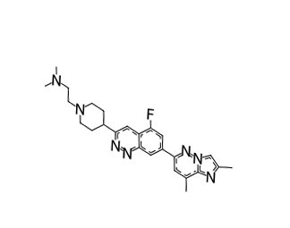 Cc1cn2nc(-c3cc(F)c4cc(C5CCN(CCN(C)C)CC5)nnc4c3)cc(C)c2n1